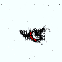 CO[C@H]1/C=C/O[C@@]2(C)Oc3c(C)c(O)c4c(c3C2=O)C2=NC3(CCN(CC(C)I)CC3)NC2=C(NC(=O)/C(C)=C\C=C\[C@H](C)[C@H](O)[C@@H](C)[C@@H](O)[C@@H](C)[C@H](OC(=O)CC(=O)Nc2ccc(CN3CCCCC3)cc2)[C@@H]1C)C4=O